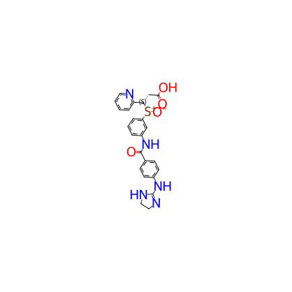 O=C(O)C[C@@H](c1ccccn1)[S+]([O-])c1cccc(NC(=O)c2ccc(NC3=NCCN3)cc2)c1